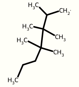 [CH2]C(C)C(C)(C)C(C)(C)CCC